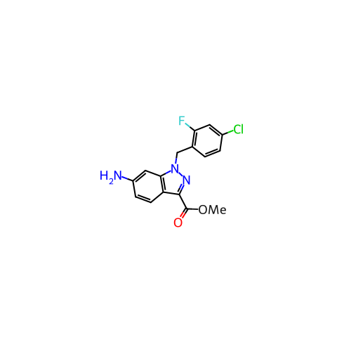 COC(=O)c1nn(Cc2ccc(Cl)cc2F)c2cc(N)ccc12